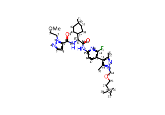 COCCn1nccc1C(=O)N[C@H](C(=O)Nc1ccc(-c2c(C)nn(COCC[Si](C)(C)C)c2C)c(F)n1)C1CCC(C)CC1